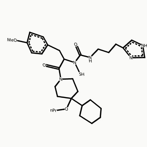 CCCOC1(C2CCCCC2)CCN(C(=O)C(Cc2ccc(OC)cc2)N(S)C(=O)NCCCc2c[nH]cn2)CC1